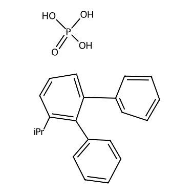 CC(C)c1cccc(-c2ccccc2)c1-c1ccccc1.O=P(O)(O)O